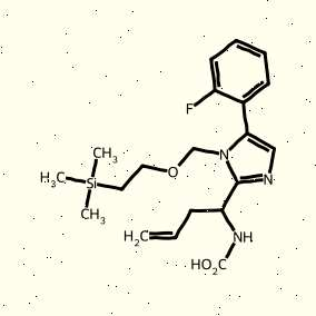 C=CCC(NC(=O)O)c1ncc(-c2ccccc2F)n1COCC[Si](C)(C)C